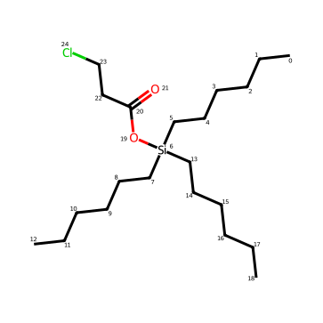 CCCCCC[Si](CCCCCC)(CCCCCC)OC(=O)CCCl